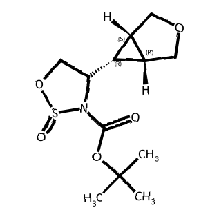 CC(C)(C)OC(=O)N1C([C@@H]2[C@@H]3COC[C@@H]32)COS1=O